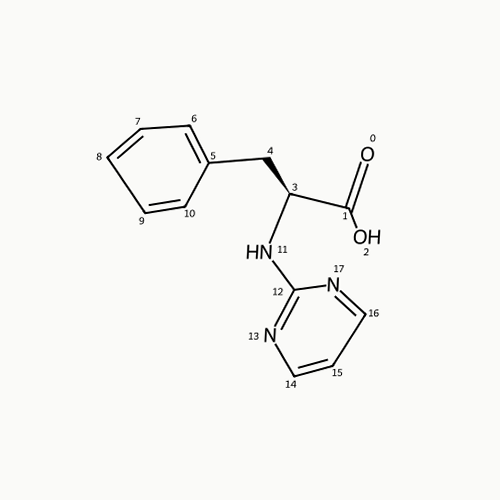 O=C(O)[C@H](Cc1ccccc1)Nc1ncccn1